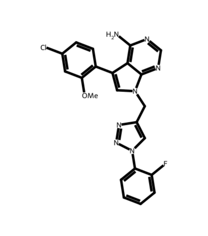 COc1cc(Cl)ccc1-c1cn(Cc2cn(-c3ccccc3F)nn2)c2ncnc(N)c12